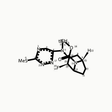 CSc1ncc(N(C)[C@H]2C[C@@H]3CCC([C@H]2F)N3C(=O)OC(C)(C)C)nn1